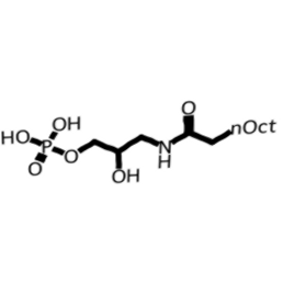 CCCCCCCCCC(=O)NCC(O)COP(=O)(O)O